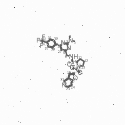 CN(C)c1nc(CNC(=O)[C@@H]2CCCN2S(=O)(=O)c2cc3cnccc3o2)cc(-c2ccc(C(F)(F)F)cc2)n1